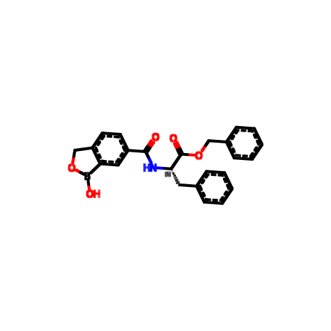 O=C(N[C@@H](Cc1ccccc1)C(=O)OCc1ccccc1)c1ccc2c(c1)B(O)OC2